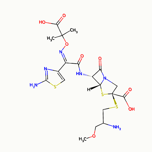 COCC(N)CS[C@]1(C(=O)O)CN2C(=O)[C@@H](NC(=O)/C(=N\OC(C)(C)C(=O)O)c3csc(N)n3)[C@H]2S1